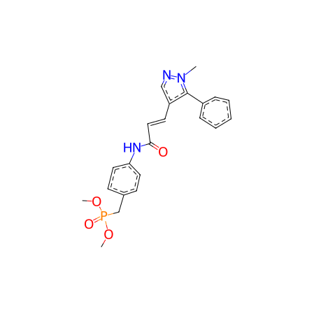 COP(=O)(Cc1ccc(NC(=O)/C=C/c2cnn(C)c2-c2ccccc2)cc1)OC